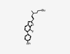 CCCc1ccc(-c2ccc3cc(/C=C/C(C)CCC(C)CC)sc3c2F)cc1